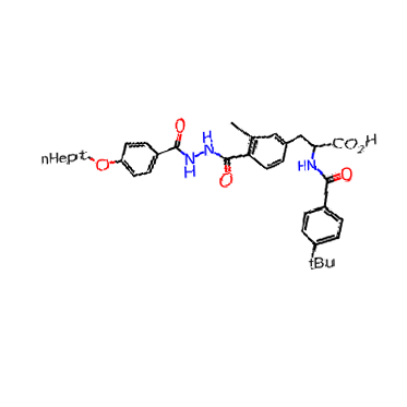 CCCCCCCOc1ccc(C(=O)NNC(=O)c2ccc(CC(NC(=O)c3ccc(C(C)(C)C)cc3)C(=O)O)cc2C)cc1